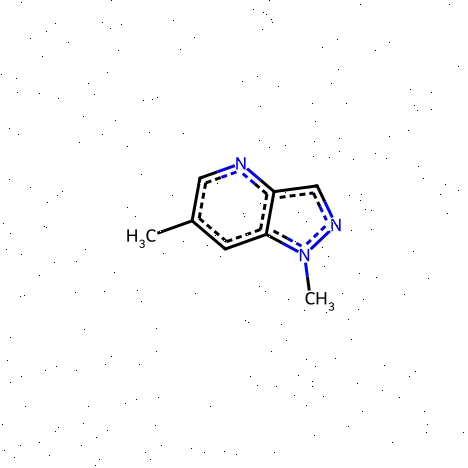 Cc1cnc2cnn(C)c2c1